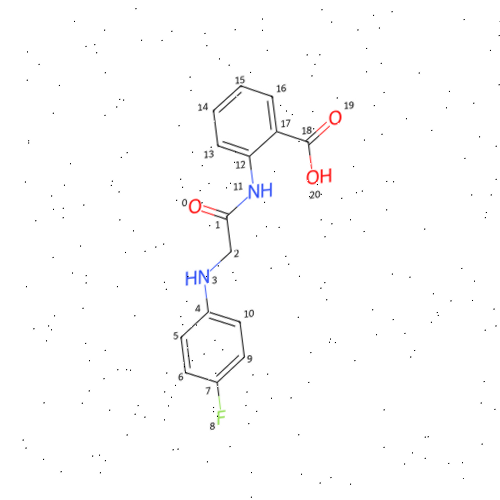 O=C(CNc1ccc(F)cc1)Nc1ccccc1C(=O)O